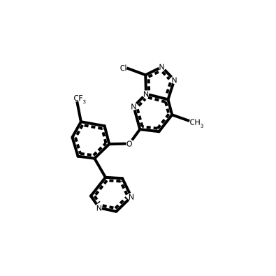 Cc1cc(Oc2cc(C(F)(F)F)ccc2-c2cncnc2)nn2c(Cl)nnc12